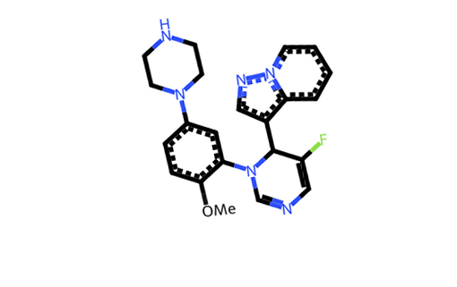 COc1ccc(N2CCNCC2)cc1N1C=NC=C(F)C1c1cnn2ccccc12